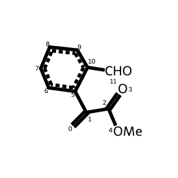 C=C(C(=O)OC)c1ccccc1C=O